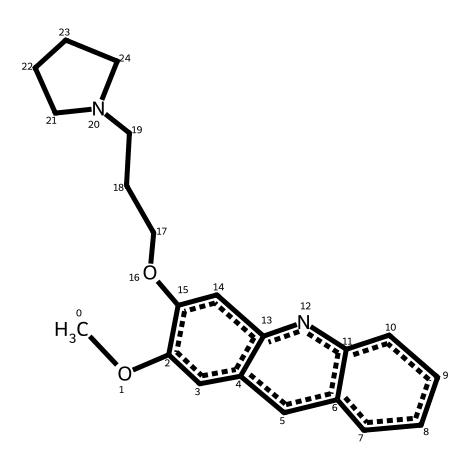 COc1cc2cc3ccccc3nc2cc1OCCCN1CCCC1